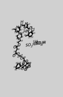 CS(=O)(=O)O.CS(=O)(=O)O.CS(=O)(=O)O.Cc1nc(Nc2ncc(C(=O)Nc3c(C)cccc3Cl)s2)cc(N2CCN(CCOC(=O)CCC(=O)OCCOCCOc3no[n+]([O-])c3S(=O)(=O)c3ccccc3)CC2)n1